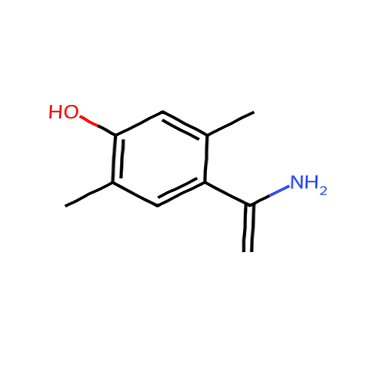 C=C(N)c1cc(C)c(O)cc1C